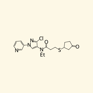 CCN(C(=O)CCSC1CCC(=O)C1)c1cn(-c2cccnc2)nc1Cl